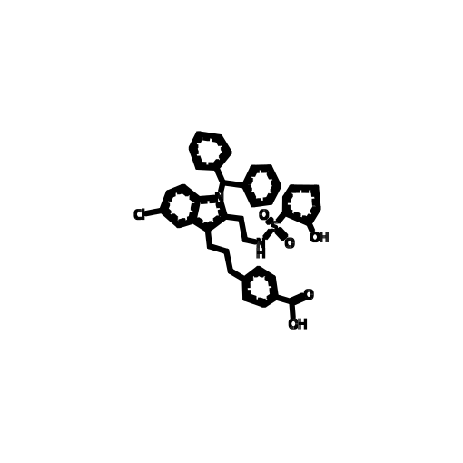 O=C(O)c1ccc(CCCc2c(CCNS(=O)(=O)c3ccccc3O)n(C(c3ccccc3)c3ccccc3)c3ccc(Cl)cc23)cc1